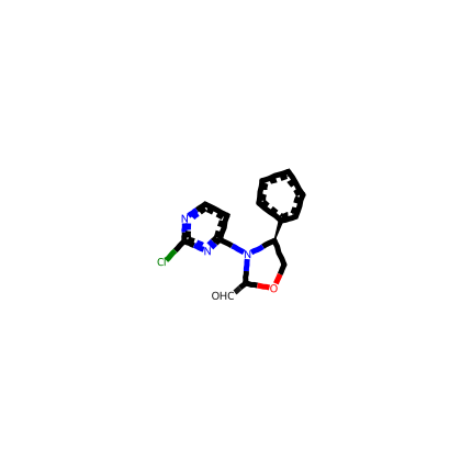 O=CC1OC[C@H](c2ccccc2)N1c1ccnc(Cl)n1